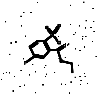 CCOC(=O)c1cc(F)ccc1S(=O)(=O)Cl